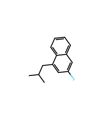 C[C](C)Cc1cc(F)cc2ccccc12